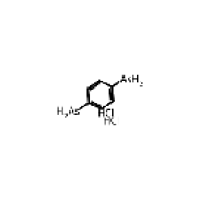 Cl.Cl.[AsH2]c1ccc([AsH2])cc1